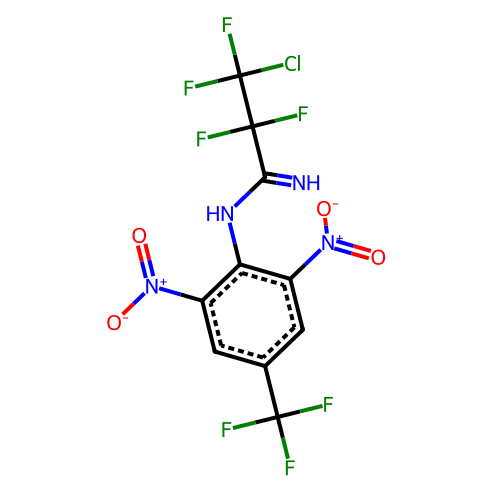 N=C(Nc1c([N+](=O)[O-])cc(C(F)(F)F)cc1[N+](=O)[O-])C(F)(F)C(F)(F)Cl